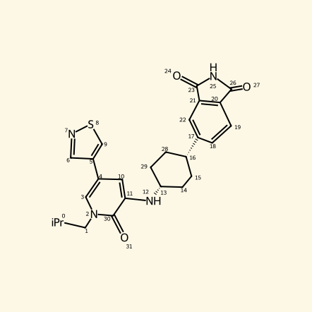 CC(C)Cn1cc(-c2cnsc2)cc(N[C@H]2CC[C@@H](c3ccc4c(c3)C(=O)NC4=O)CC2)c1=O